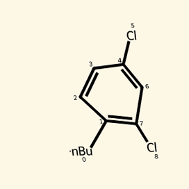 CCC[CH]c1ccc(Cl)cc1Cl